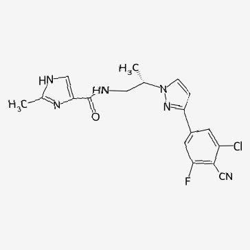 Cc1nc(C(=O)NC[C@H](C)n2ccc(-c3cc(F)c(C#N)c(Cl)c3)n2)c[nH]1